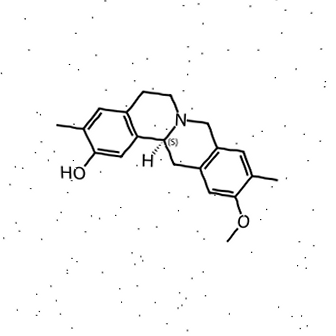 COc1cc2c(cc1C)CN1CCc3cc(C)c(O)cc3[C@@H]1C2